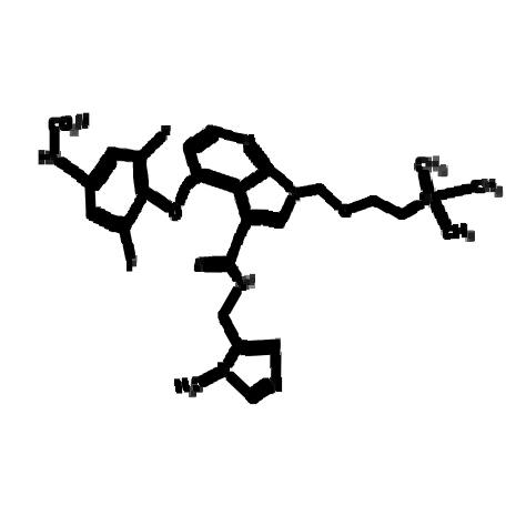 Cn1cncc1CNC(=O)c1cn(COCC[Si](C)(C)C)c2nccc(Oc3c(F)cc(NC(=O)O)cc3F)c12